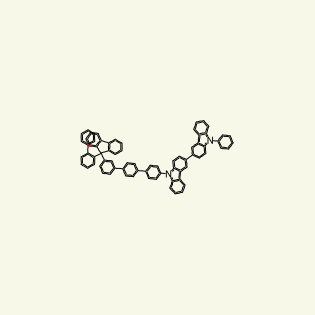 c1ccc(-c2ccccc2C2(c3cccc(-c4ccc(-c5ccc(-n6c7ccccc7c7cc(-c8ccc9c(c8)c8ccccc8n9-c8ccccc8)ccc76)cc5)cc4)c3)c3ccccc3-c3ccccc32)cc1